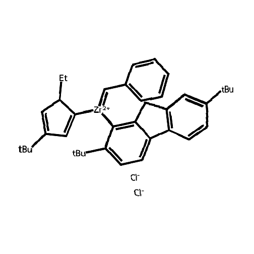 CCC1C=C(C(C)(C)C)C=[C]1/[Zr+2](=[CH]/c1ccccc1)[c]1c(C(C)(C)C)ccc2c1Cc1cc(C(C)(C)C)ccc1-2.[Cl-].[Cl-]